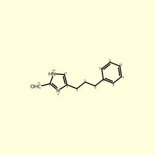 O=Cc1nc(CCCc2ccccc2)c[nH]1